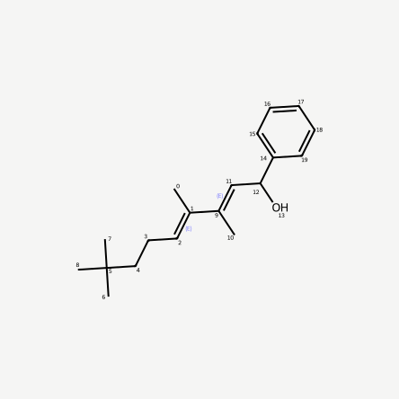 CC(=C\CCC(C)(C)C)/C(C)=C/C(O)c1ccccc1